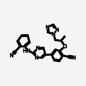 CC(Cn1cncn1)Oc1cc(-c2cnc(Nc3ccccc3C#N)nc2)ccc1C#N